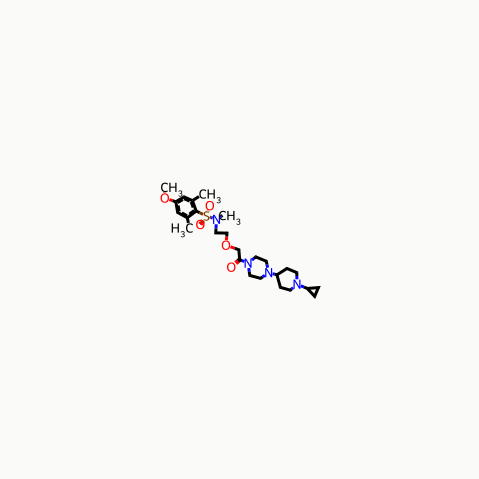 COc1cc(C)c(S(=O)(=O)N(C)CCOCC(=O)N2CCN(C3CCN(C4CC4)CC3)CC2)c(C)c1